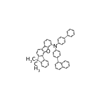 CC1(C)c2ccccc2-c2c1ccc1c2oc2c(N(c3ccc(-c4ccccc4)cc3)c3ccc(-c4cccc5ccccc45)cc3)cccc21